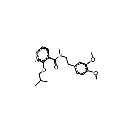 COc1ccc(CCN(C)C(=O)c2cccnc2OCC(C)C)cc1OC